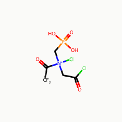 O=C(Cl)C[N+](Cl)(CP(=O)(O)O)C(=O)C(F)(F)F